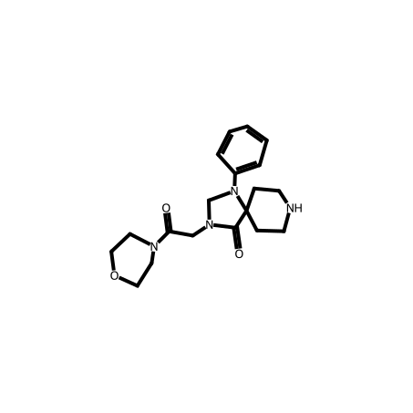 O=C(CN1CN(c2ccccc2)C2(CCNCC2)C1=O)N1CCOCC1